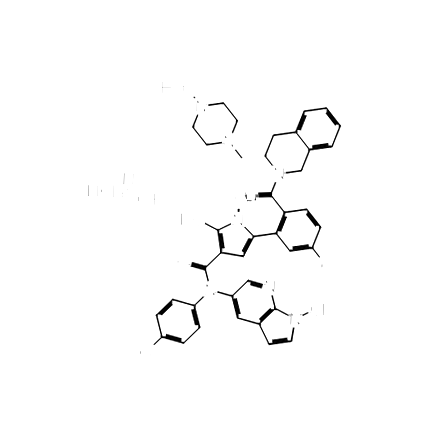 Cc1c(C(=O)N(c2ccc(O)cc2)c2cnc3c(ccn3C)c2)cc(-c2cc(Cl)ccc2C(=O)N2Cc3ccccc3C[C@H]2CN2CCN(C)CC2)n1C.Cl.Cl.Cl